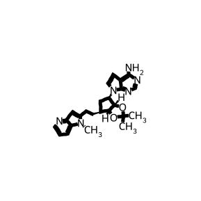 Cn1c(CC[C@H]2C[C@@H](n3ccc4c(N)ncnc43)[C@@H]3OC(C)(C)O[C@H]23)cc2ncccc21